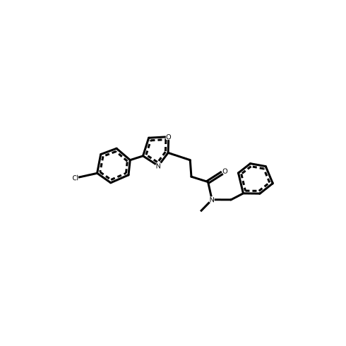 CN(Cc1ccccc1)C(=O)CCc1nc(-c2ccc(Cl)cc2)co1